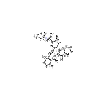 CC/C(N)=N/[S+]([O-])c1cc(C(=O)C(C(=O)c2cc(F)ccc2F)=C2Nc3ccccc3N2)ccc1F